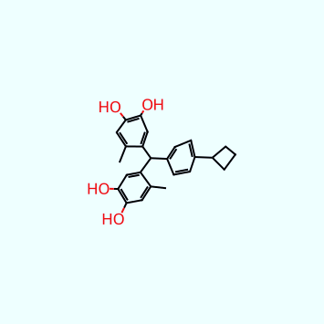 Cc1cc(O)c(O)cc1C(c1ccc(C2CCC2)cc1)c1cc(O)c(O)cc1C